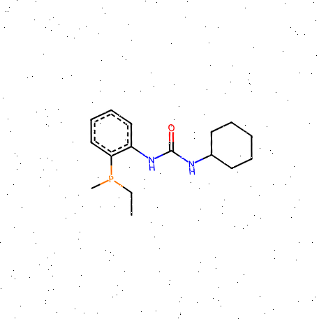 CCP(C)c1ccccc1NC(=O)NC1CCCCC1